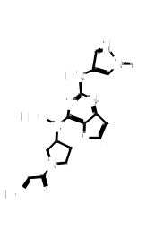 C=CC(=O)N1CCC(N(C)c2nc(Nc3cnn(C)c3)nc3ccsc23)C1